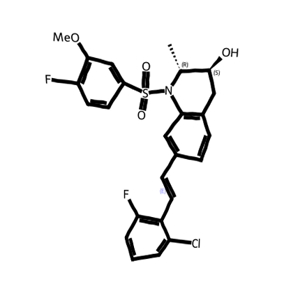 COc1cc(S(=O)(=O)N2c3cc(/C=C/c4c(F)cccc4Cl)ccc3C[C@H](O)[C@H]2C)ccc1F